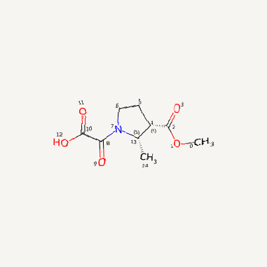 COC(=O)[C@H]1CCN(C(=O)C(=O)O)[C@H]1C